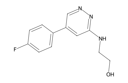 OCCNc1cc(-c2ccc(F)cc2)cnn1